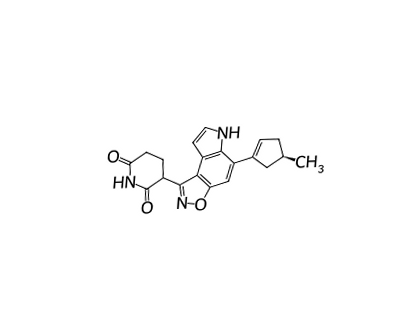 C[C@@H]1CC=C(c2cc3onc(C4CCC(=O)NC4=O)c3c3cc[nH]c23)C1